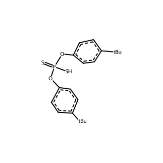 CC(C)(C)c1ccc(OP(=S)(S)Oc2ccc(C(C)(C)C)cc2)cc1